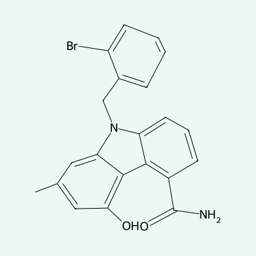 Cc1cc(O)c2c3c(C(N)=O)cccc3n(Cc3ccccc3Br)c2c1